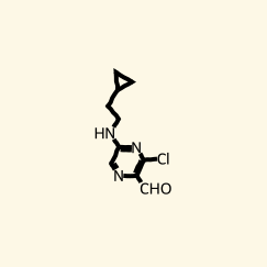 O=Cc1ncc(NCCC2CC2)nc1Cl